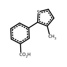 Cc1ccsc1-c1cccc(C(=O)O)c1